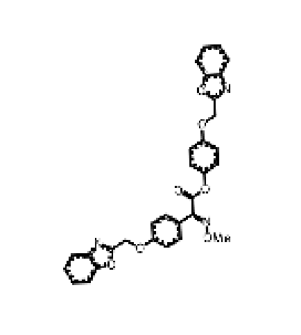 CON=C(C(=O)Oc1ccc(OCc2nc3ccccc3o2)cc1)c1ccc(OCc2nc3ccccc3o2)cc1